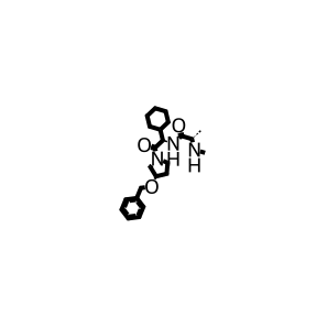 CN[C@@H](C)C(=O)N[C@H](C(=O)N1CC[C@@H](OCc2ccccc2)C1)C1CCCCC1